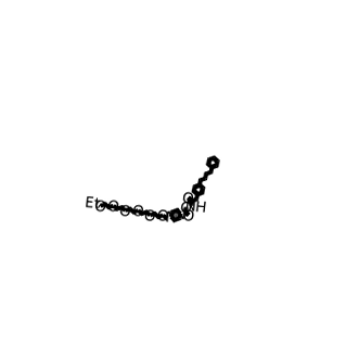 CCOCCOCCOCCOCCOCCOCN1CCN(C(=O)ONC(=O)Cc2ccc(CCCCc3ccccc3)cc2)CC1